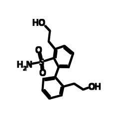 NS(=O)(=O)c1c(CCO)cccc1-c1ccccc1CCO